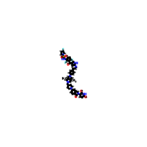 C[C@@]12CN(CC3CCN(c4ccc5c(c4)CN(C4CCC(=O)NC4=O)C5=O)CC3)C[C@]1(C)CN(c1ccc(-c3cnc4[nH]cc(C(=O)c5c(F)ccc(NS(=O)(=O)N6CC[C@@H](F)C6)c5F)c4c3)cc1)C2